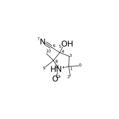 CC1(C)CC(O)(C#N)C(C)(C)[NH+]1[O-]